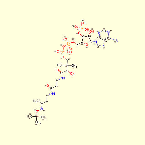 C/C(CCNC(=O)CCNC(=O)C(O)C(C)(C)COP(=O)(O)OP(=O)(O)OCC1OC(n2cnc3c(N)ncnc32)C(O)C1OP(=O)(O)O)=N\OC(C)(C)C